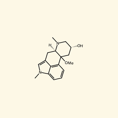 COC12C[C@@H](O)CN(C)[C@@H]1Cc1cn(C)c3cccc2c13